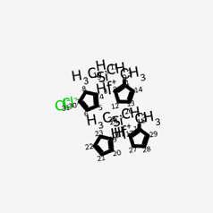 CC1=[C]([Hf+]([C]2=CC=CC2)[SiH](C)C)CC=C1.CC1=[C]([Hf+]([C]2=CC=CC2)[SiH](C)C)CC=C1.[Cl-].[Cl-]